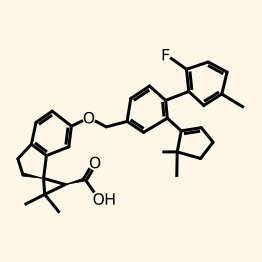 Cc1ccc(F)c(-c2ccc(COc3ccc4c(c3)[C@]3(CC4)[C@@H](C(=O)O)C3(C)C)cc2C2=CCCC2(C)C)c1